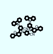 N#Cc1ccc(-n2c3ccc(-n4c5ccccc5c5ccccc54)cc3c3c4oc5ccccc5c4ccc32)c(C#N)c1-n1c2ccc(-n3c4ccccc4c4ccccc43)cc2c2c3oc4ccccc4c3ccc21